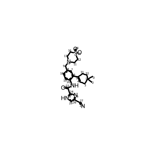 CC1(C)CC=C(c2cc(CN3CCS(=O)(=O)CC3)ccc2NC(=O)c2nc(C#N)c[nH]2)CC1